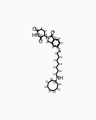 O=C1CCC(N2Cc3cc(SCCCCCCCNC4CCCCCCC4)ccc3C2=O)C(=O)N1